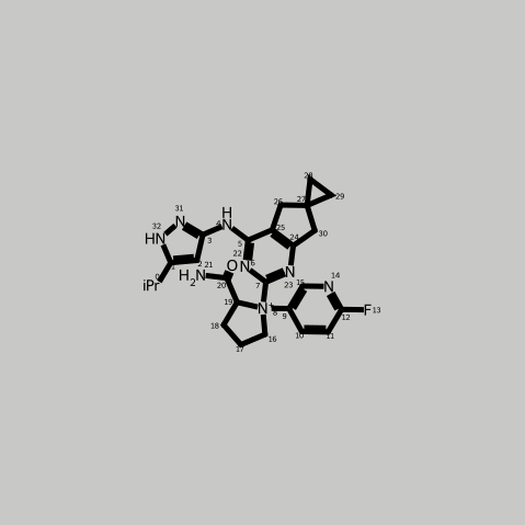 CC(C)c1cc(Nc2nc([N+]3(c4ccc(F)nc4)CCCC3C(N)=O)nc3c2CC2(CC2)C3)n[nH]1